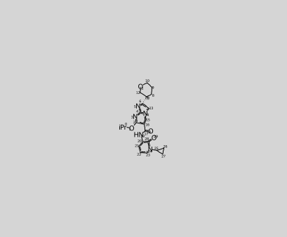 CC(C)Oc1nc2nc([C@H]3CCCOC3)cn2cc1C(=O)Nc1cccn(C2CC2)c1=O